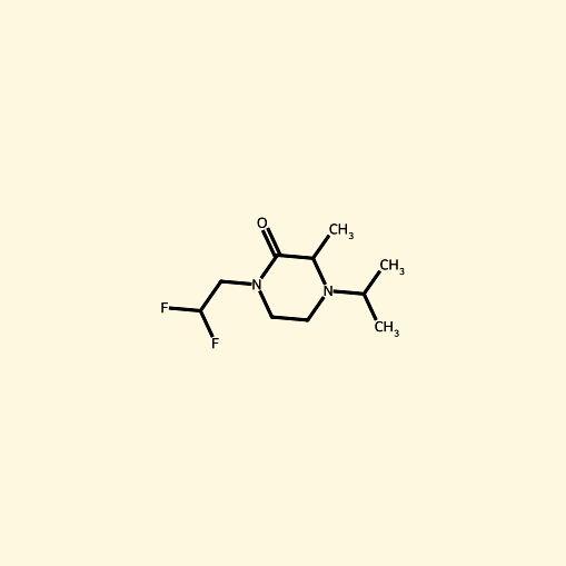 CC(C)N1CCN(CC(F)F)C(=O)C1C